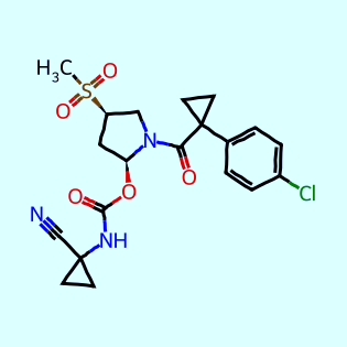 CS(=O)(=O)[C@@H]1C[C@H](OC(=O)NC2(C#N)CC2)N(C(=O)C2(c3ccc(Cl)cc3)CC2)C1